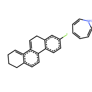 C1=CC=CNC=C1.Fc1ccc2c(c1)CC=c1c-2ccc2c1=CCCC2